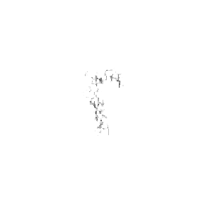 COc1cc2c(=O)n(C)n(Cc3ccccc3OC(F)F)c2cc1-c1cnc(N2CCN(C(=O)CO)C(C)C2)nc1